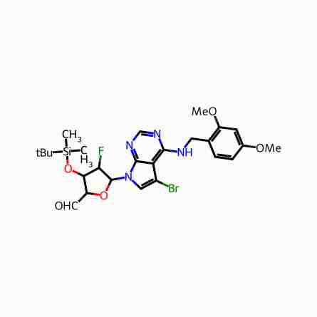 COc1ccc(CNc2ncnc3c2c(Br)cn3C2OC(C=O)C(O[Si](C)(C)C(C)(C)C)C2F)c(OC)c1